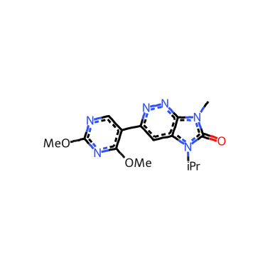 COc1ncc(-c2cc3c(nn2)n(C)c(=O)n3C(C)C)c(OC)n1